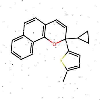 Cc1ccc(C2(C3CC3)C=Cc3ccc4ccccc4c3O2)s1